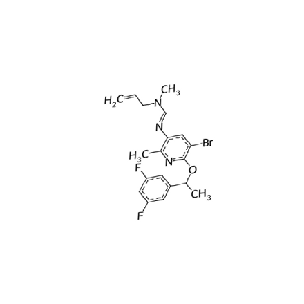 C=CCN(C)/C=N/c1cc(Br)c(OC(C)c2cc(F)cc(F)c2)nc1C